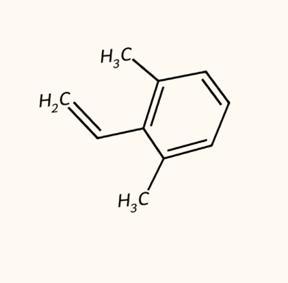 C=Cc1c(C)cccc1C